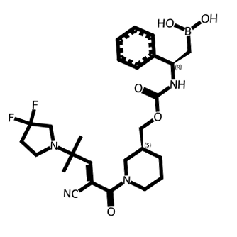 CC(C)(C=C(C#N)C(=O)N1CCC[C@H](COC(=O)N[C@H](CB(O)O)c2ccccc2)C1)N1CCC(F)(F)C1